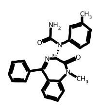 Cc1cccc(N(C(N)=O)[C@H]2N=C(c3ccccc3)c3ccccc3N(C)C2=O)c1